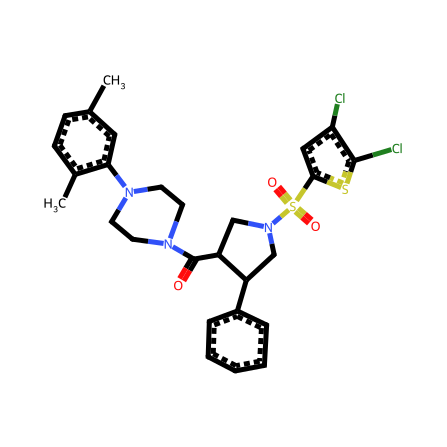 Cc1ccc(C)c(N2CCN(C(=O)C3CN(S(=O)(=O)c4cc(Cl)c(Cl)s4)CC3c3ccccc3)CC2)c1